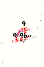 COc1ccc(COC(=O)O)cc1OC.O=C(O)OCc1ccc([N+](=O)[O-])cc1.O=C(O)OCc1ccccc1[N+](=O)[O-].O=C(O)SCc1ccccc1